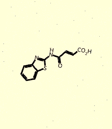 O=C(O)/C=C/C(=O)Nc1nc2ccccc2s1